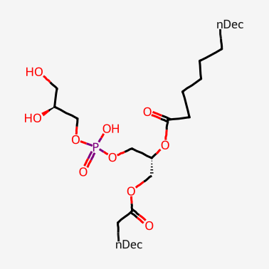 CCCCCCCCCCCCCCCC(=O)O[C@H](COC(=O)CCCCCCCCCCC)COP(=O)(O)OC[C@@H](O)CO